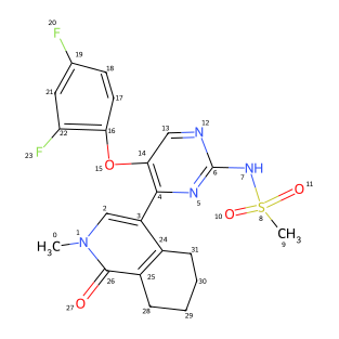 Cn1cc(-c2nc(NS(C)(=O)=O)ncc2Oc2ccc(F)cc2F)c2c(c1=O)CCCC2